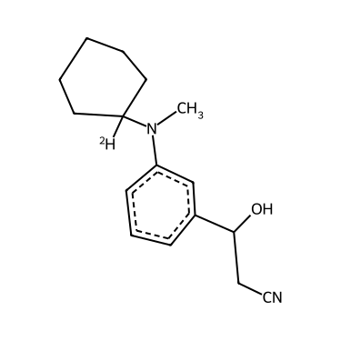 [2H]C1(N(C)c2cccc(C(O)CC#N)c2)CCCCC1